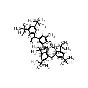 Cc1cc(C2C(=O)Oc3c2cc(C(C)(C)C)cc3C(C)(C)C)cc(C)c1OP1Oc2c(cc(C(C)(C)C)cc2C(C)(C)C)Cc2cc(C(C)(C)C)cc(C(C)(C)C)c2O1